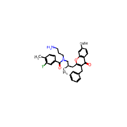 COc1ccc2c(=O)c(Cc3ccccc3)c(CC(C)CN(CCCN)C(=O)c3ccc(C)c(F)c3)oc2c1